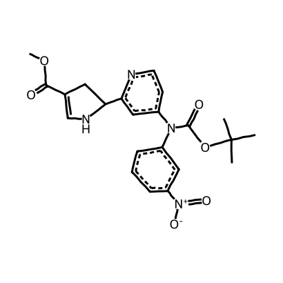 COC(=O)C1=CNC(c2cc(N(C(=O)OC(C)(C)C)c3cccc([N+](=O)[O-])c3)ccn2)C1